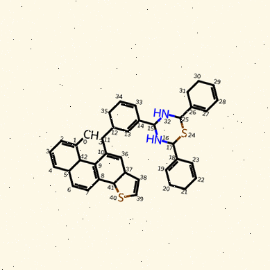 CC1=CC=CC2C=CC3=C(C(CC4C=C(C5NC(C6=CCCC=C6)SC(C6=CC=CCC6)N5)C=CC4)=CC4C=CSC34)C12